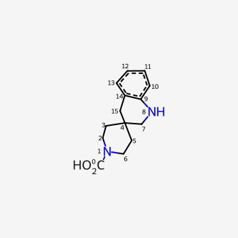 O=C(O)N1CCC2(CC1)CNc1ccccc1C2